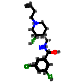 CC(C)(C)CCN1CC[C@H](CNC(=O)c2cc(Cl)cc(Cl)c2)[C@@H](F)C1